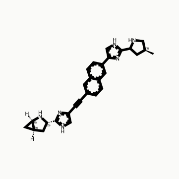 C[C@@H]1CNC(c2nc(-c3ccc4cc(C#Cc5c[nH]c([C@@H]6C[C@H]7C[C@H]7N6)n5)ccc4c3)c[nH]2)C1